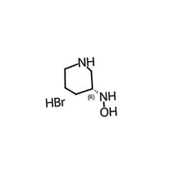 Br.ON[C@@H]1CCCNC1